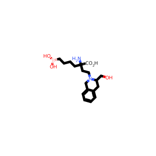 NC(CCCCB(O)O)(CCN1Cc2ccccc2CC1CO)C(=O)O